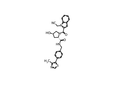 Cc1ncsc1-c1ccc(CNC(=O)[C@@H]2C[C@@H](O)CN2C(=O)c2cc3ccccc3n2CC#N)cc1